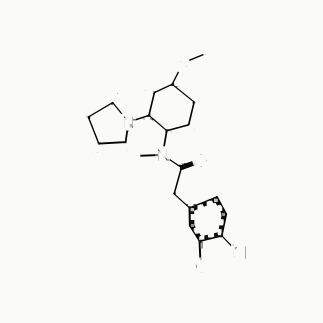 CSC1CCC(N(C)C(=O)Cc2ccc(Cl)c(Cl)c2)C(N2CCCC2)C1